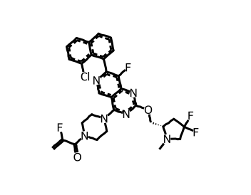 C=C(F)C(=O)N1CCN(c2nc(OC[C@@H]3CC(F)(F)CN3C)nc3c(F)c(-c4cccc5cccc(Cl)c45)ncc23)CC1